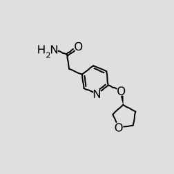 NC(=O)Cc1ccc(O[C@H]2CCOC2)nc1